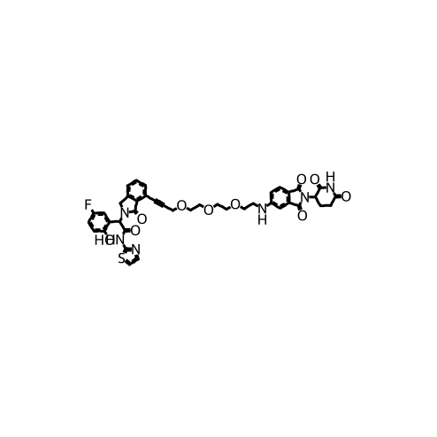 O=C1CCC(N2C(=O)c3ccc(NCCOCCOCCOCC#Cc4cccc5c4C(=O)N(C(C(=O)Nc4nccs4)c4cc(F)ccc4O)C5)cc3C2=O)C(=O)N1